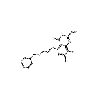 CSc1nc2c(F)c(Cl)nc(CCCNCc3ccccc3)c2c(=O)[nH]1